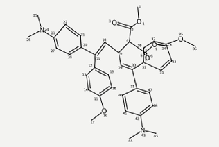 COC(=O)C(C(=O)OC)C(C=C(c1ccc(OC)cc1)c1ccc(N(C)C)cc1)C=C(c1ccc(OC)cc1)c1ccc(N(C)C)cc1